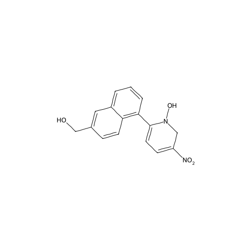 O=[N+]([O-])C1=CC=C(c2cccc3cc(CO)ccc23)N(O)C1